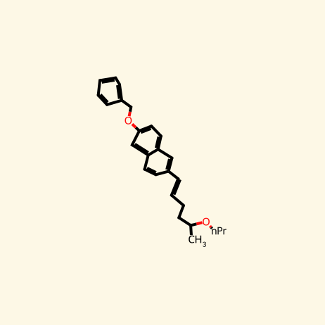 CCCOC(C)CCC=Cc1ccc2cc(OCc3ccccc3)ccc2c1